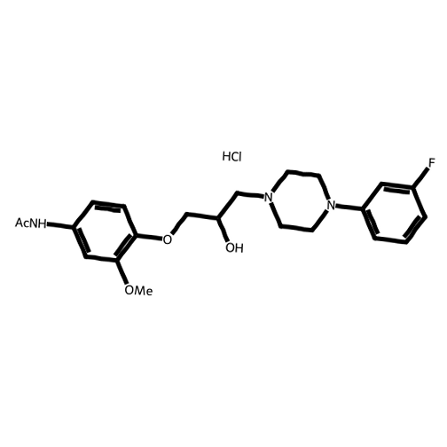 COc1cc(NC(C)=O)ccc1OCC(O)CN1CCN(c2cccc(F)c2)CC1.Cl